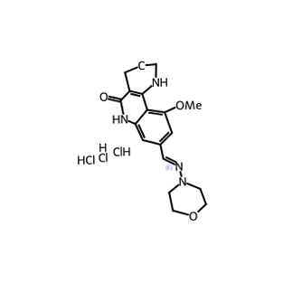 COc1cc(/C=N/N2CCOCC2)cc2[nH]c(=O)c3c(c12)NCCC3.Cl.Cl.Cl